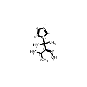 CC(C)/C(=N\O)C(C)(C)n1cncn1